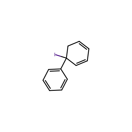 IC1(c2ccccc2)C=CC=CC1